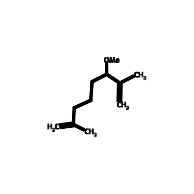 C=C(C)CCCC(OC)C(=C)C